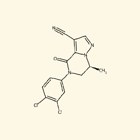 C[C@H]1CN(c2ccc(Cl)c(Cl)c2)C(=O)c2c(C#N)cnn21